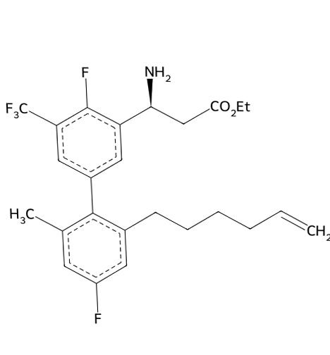 C=CCCCCc1cc(F)cc(C)c1-c1cc([C@@H](N)CC(=O)OCC)c(F)c(C(F)(F)F)c1